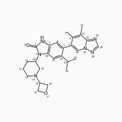 Cc1c(-c2cc3[nH]c(=O)n(C4CCCN(C5COC5)C4)c3cc2C(C)C)cn2ncnc2c1C